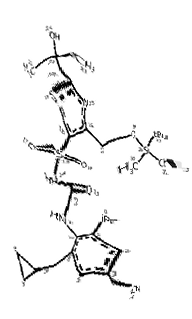 CC(C)c1cc(C#N)cc(C2CC2)c1NC(=O)NS(=O)(=O)c1sc(C(C)(C)O)nc1CO[Si](C)(C)C(C)(C)C